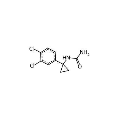 NC(=O)NC1(c2ccc(Cl)c(Cl)c2)CC1